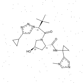 Cn1cncc1C1(NC(=O)[C@@H]2C[C@@H](O)CN2C(=O)[C@@H](n2cc(C3CC3)nn2)C(C)(C)C)CC1